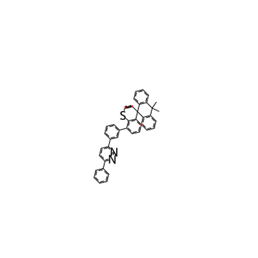 CC1(C)c2ccccc2C2(c3ccccc3Sc3c(-c4cccc(-c5ccc(-c6ccccc6)nn5)c4)cccc32)c2ccccc21